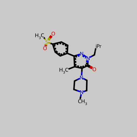 Cc1c(-c2ccc(S(C)(=O)=O)cc2)nn(CC(C)C)c(=O)c1N1CCN(C)CC1